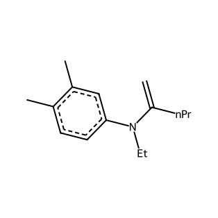 C=C(CCC)N(CC)c1ccc(C)c(C)c1